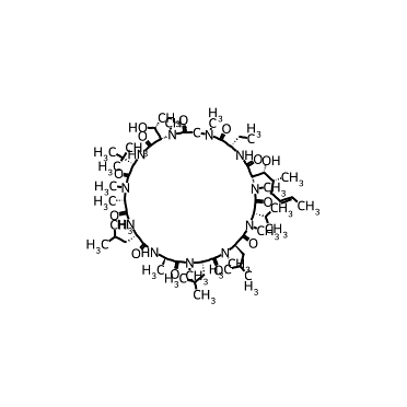 C/C=C/C[C@@H](C)[C@@H](O)[C@H]1C(=O)N[C@@H](CC)C(=O)N(C)CC(=O)N(C)[C@@H]([C@@H](C)O)C(=O)N[C@@H](C(C)(C)C)C(=O)N(C)[C@@H](C)C(=O)N[C@@H](CC(C)C)C(=O)N[C@H](C)C(=O)N(C)[C@@H](CC(C)C)C(=O)N(C)[C@H](CC(C)C)C(=O)N(C)[C@@H](C(C)C)C(=O)N1C